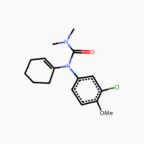 COc1ccc(N(C(=O)N(C)C)C2=CCCCC2)cc1Cl